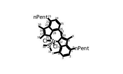 CCCCCc1ccc(C)c2c1C(C)=C(C)[CH]2[Zr]([Cl])([Cl])([CH]1C(C)=C(C)c2c(CCCCC)ccc(C)c21)=[Si](C)C